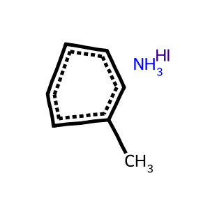 Cc1ccccc1.I.N